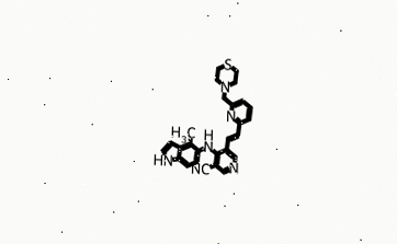 Cc1c(Nc2c(C#N)cncc2C=Cc2cccc(CN3CCSCC3)n2)ccc2[nH]ccc12